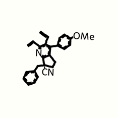 C=Cc1nc2c(c(-c3ccc(OC)cc3)c1C=C)CC[C@@]2(C#N)Cc1ccccc1